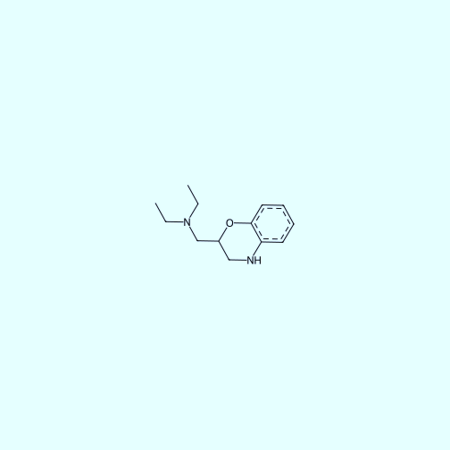 CCN(CC)CC1CNc2ccccc2O1